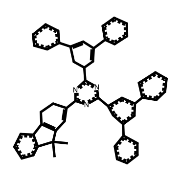 CC1(C)C2=C(CCC(c3nc(-c4cc(-c5ccccc5)cc(-c5ccccc5)c4)nc(C4C=C(c5ccccc5)C=C(c5ccccc5)C4)n3)=C2)c2ccccc21